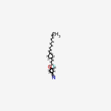 CCCCCCCCCCC1CCC(CCCOc2ccc(C#N)cc2F)CC1